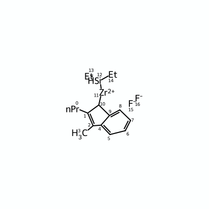 CCCC1=C(C)c2ccccc2[CH]1[Zr+2][SiH](CC)CC.[F-].[F-]